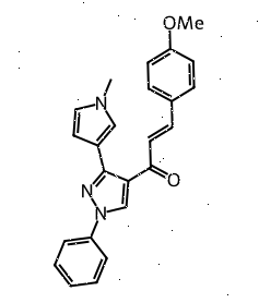 COc1ccc(C=CC(=O)c2cn(-c3ccccc3)nc2-c2ccn(C)c2)cc1